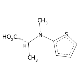 C[C@H](C(=O)O)N(C)c1cccs1